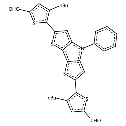 CCCCc1cc(C=O)sc1-c1cc2c(s1)c1sc(-c3sc(C=O)cc3CCCC)cc1n2-c1ccccc1